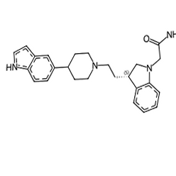 NC(=O)CN1C[C@@H](CCN2CCC(c3ccc4[nH]ccc4c3)CC2)c2ccccc21